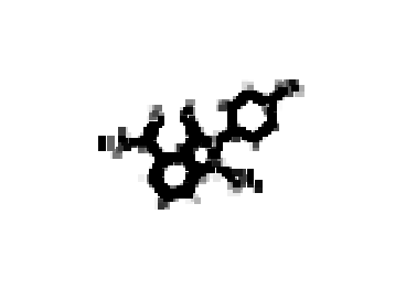 CC(C)N1CCC(n2c(=O)c3c(C(N)=O)cccc3n2C)CC1